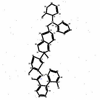 C/C(=N\c1cc(C2(C)C=c3ccc(CN(c4ccccc4)C4C=CCCC4C)cc3=CC2)ccc1C)c1ccccc1-c1ccccc1C